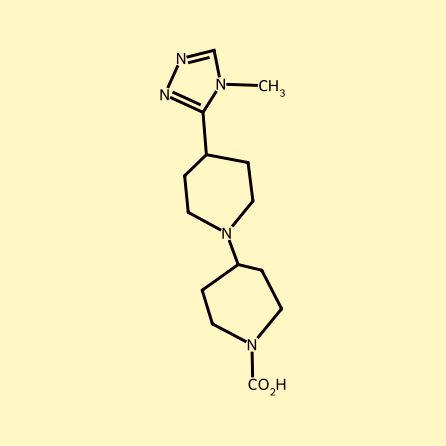 Cn1cnnc1C1CCN(C2CCN(C(=O)O)CC2)CC1